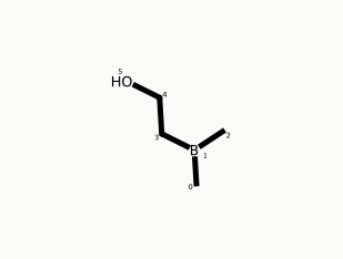 CB(C)CCO